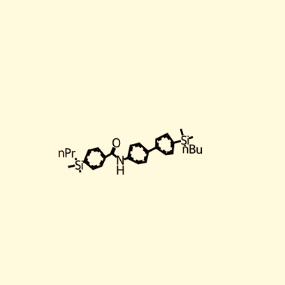 CCCC[Si](C)(C)c1ccc(-c2ccc(NC(=O)c3ccc([Si](C)(C)CCC)cc3)cc2)cc1